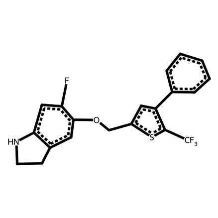 Fc1cc2c(cc1OCc1cc(-c3ccccc3)c(C(F)(F)F)s1)CCN2